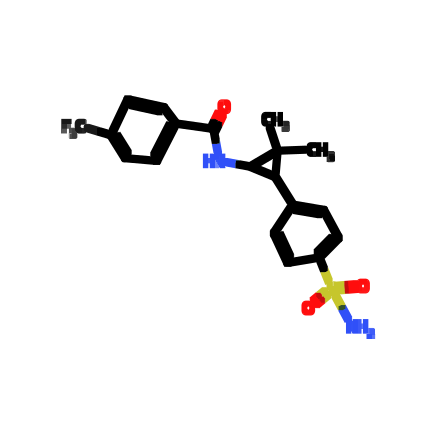 CC1(C)C(NC(=O)c2ccc(C(F)(F)F)cc2)C1c1ccc(S(N)(=O)=O)cc1